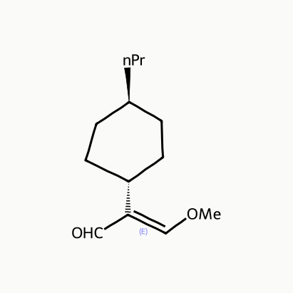 CCC[C@H]1CC[C@H](/C(C=O)=C\OC)CC1